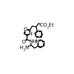 CCOC(=O)CC(Cc1nc(C(=O)NC(N)Cc2ccccn2)co1)c1ccccc1